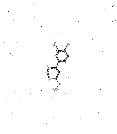 CC(C)c1ncc(-c2cccc(OC(F)(F)F)c2)cc1C(F)(F)F